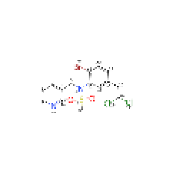 CS(=O)(=O)N(Cc1cccnc1)c1cc(CC(Cl)Cl)ccc1Br